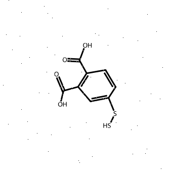 O=C(O)c1ccc(SS)cc1C(=O)O